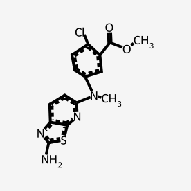 COC(=O)c1cc(N(C)c2ccc3nc(N)sc3n2)ccc1Cl